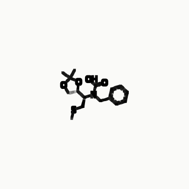 CSC[C@@H]([C@@H]1COC(C)(C)O1)N(Cc1ccccc1)C(=O)O